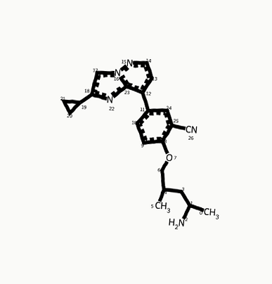 CC(N)CC(C)COc1ccc(-c2ccnn3cc(C4CC4)nc23)cc1C#N